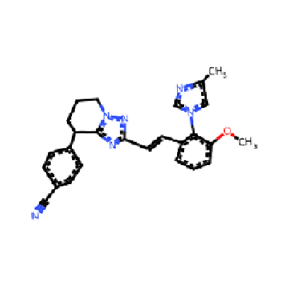 COc1cccc(/C=C/c2nc3n(n2)CCCC3c2ccc(C#N)cc2)c1-n1cnc(C)c1